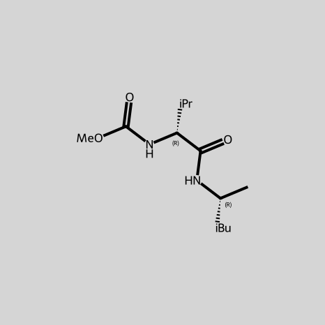 CCC(C)[C@@H](C)NC(=O)[C@H](NC(=O)OC)C(C)C